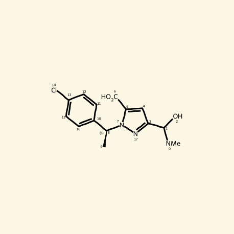 CNC(O)c1cc(C(=O)O)n([C@@H](C)c2ccc(Cl)cc2)n1